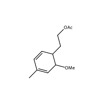 COC1C=C(C)C=CC1CCOC(C)=O